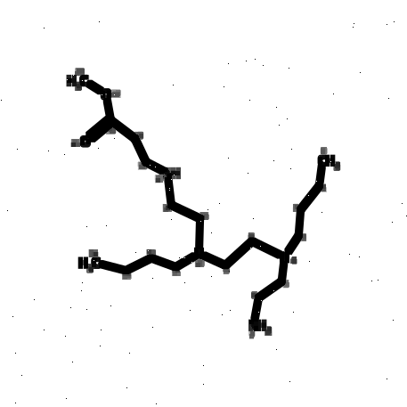 CCCCN(CCN)CCN(CCCC)CCNCCC(=O)OC